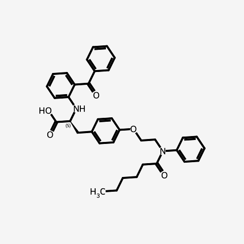 CCCCCC(=O)N(CCOc1ccc(C[C@H](Nc2ccccc2C(=O)c2ccccc2)C(=O)O)cc1)c1ccccc1